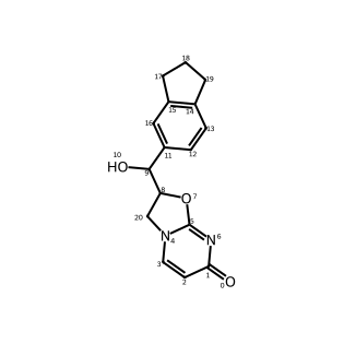 O=c1ccn2c(n1)OC(C(O)c1ccc3c(c1)CCC3)C2